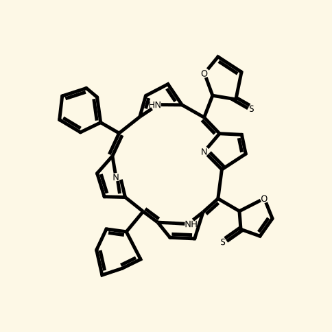 S=C1C=COC1c1c2nc(c(C3OC=CC3=S)c3ccc([nH]3)c(-c3ccccc3)c3nc(c(-c4ccccc4)c4ccc1[nH]4)C=C3)C=C2